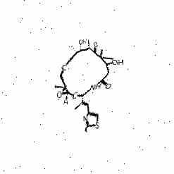 C/C(=C\c1csc(C)n1)[C@@H]1C[C@@H]2O[C@]2(C)CCC[C@H](C)[C@H](O)[C@@H](C)C(=O)C(C)(C)C(O)CC(=O)N1